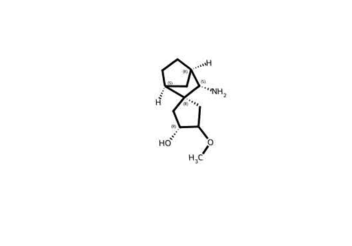 COC1C[C@]2(C[C@H]1O)[C@H]1CC[C@H](C1)[C@@H]2N